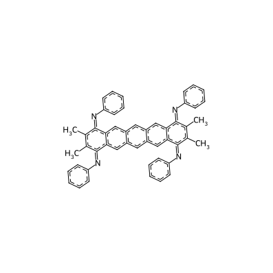 Cc1c(C)c(=Nc2ccccc2)c2cc3cc4cc5c(=Nc6ccccc6)c(C)c(C)c(=Nc6ccccc6)c5cc4cc3cc2c1=Nc1ccccc1